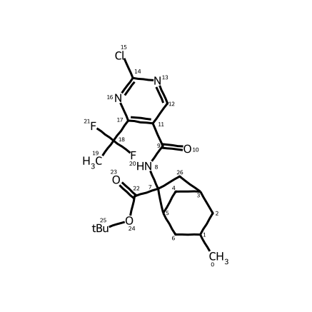 CC1CC2CC(C1)C(NC(=O)c1cnc(Cl)nc1C(C)(F)F)(C(=O)OC(C)(C)C)C2